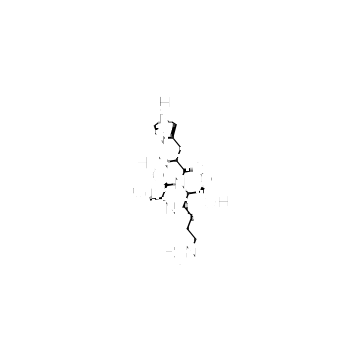 CC(N)C(=O)N(C(=O)C(N)Cc1c[nH]cn1)C(CCCCN)C(=O)O.[Cu]